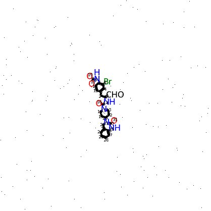 O=CC(Cc1cc(Br)c2[nH]c(=O)oc2c1)NC(=O)N1CCC(N2Cc3ccccc3NC2=O)CC1